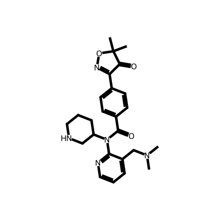 CN(C)Cc1cccnc1N(C(=O)c1ccc(C2=NOC(C)(C)C2=O)cc1)C1CCCNC1